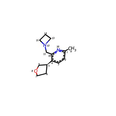 Cc1ccc([C@H]2CCOC2)c(CN2CCC2)n1